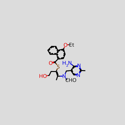 CCOc1ccc(C(=O)S/C(CCO)=C(/C)N(C=O)Cc2cnc(C)nc2N)c2ccccc12